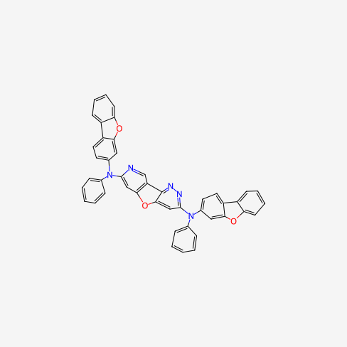 c1ccc(N(c2ccc3c(c2)oc2ccccc23)c2cc3oc4cc(N(c5ccccc5)c5ccc6c(c5)oc5ccccc56)nnc4c3cn2)cc1